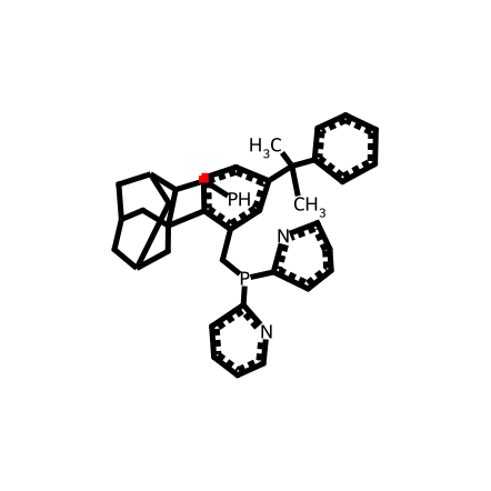 CC(C)(c1ccccc1)c1ccc(C23CC4CC(CC(C4)C2CP)C3)c(CP(c2ccccn2)c2ccccn2)c1